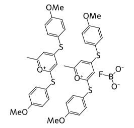 COc1ccc(Sc2cc(C)[o+]c(Sc3ccc(OC)cc3)c2)cc1.COc1ccc(Sc2cc(C)[o+]c(Sc3ccc(OC)cc3)c2)cc1.[O-]B([O-])F